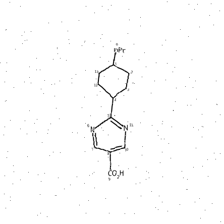 CCCC1CCC(c2ncc(C(=O)O)cn2)CC1